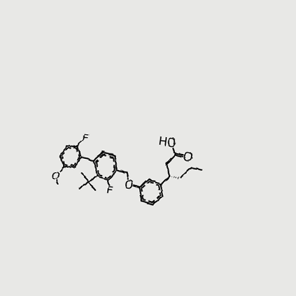 CCC[C@@H](CC(=O)O)c1cccc(OCc2ccc(-c3cc(OC)ccc3F)c(C(C)(C)C)c2F)c1